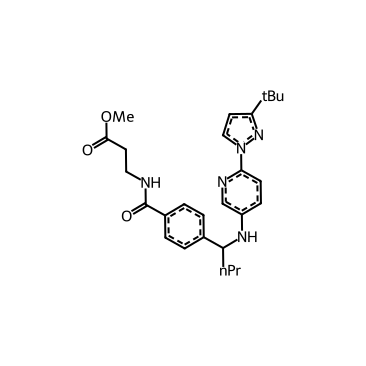 CCCC(Nc1ccc(-n2ccc(C(C)(C)C)n2)nc1)c1ccc(C(=O)NCCC(=O)OC)cc1